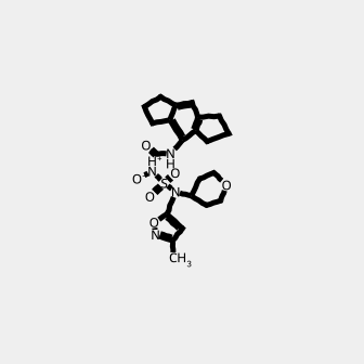 Cc1cc(N(C2CCOCC2)S(=O)(=O)[NH+]([O-])C(=O)Nc2c3c(cc4c2CCC4)CCC3)on1